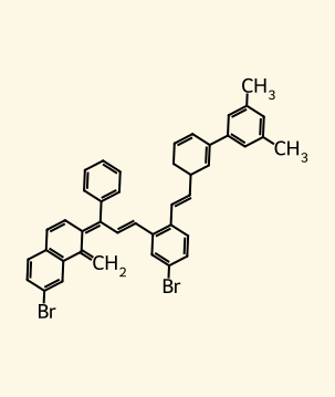 C=c1/c(=C(\C=C\c2cc(Br)ccc2C=CC2C=C(c3cc(C)cc(C)c3)C=CC2)c2ccccc2)ccc2ccc(Br)cc12